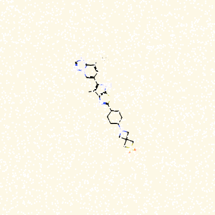 COc1cc(-c2[nH]c3sc(C4CCC(N5CC6(C5)CS(=O)(=O)C6)CC4)nc3c2C(C)C)cn2ncnc12